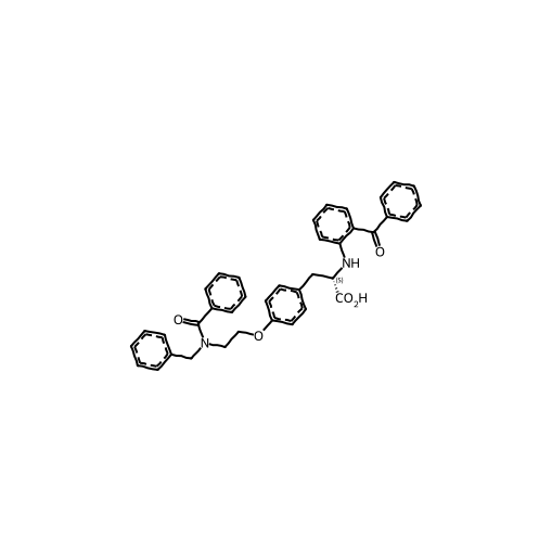 O=C(c1ccccc1)c1ccccc1N[C@@H](Cc1ccc(OCCN(Cc2ccccc2)C(=O)c2ccccc2)cc1)C(=O)O